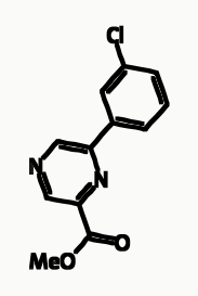 COC(=O)c1cncc(-c2cccc(Cl)c2)n1